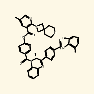 Cc1cnc(N2CC3(CCOCC3)C2)c(C(=O)Nc2ccc(C(=O)N3c4ccccc4N=C(c4ccc(C(=O)Nc5c(C)cccc5F)cc4)[C@@H]3C)cc2)c1